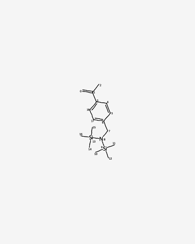 C=C(C)c1ccc(CN([Si](C)(C)C)[Si](C)(C)C)cc1